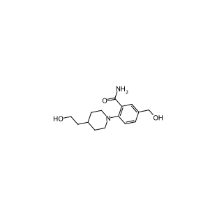 NC(=O)c1cc(CO)ccc1N1CCC(CCO)CC1